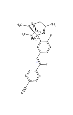 CC1=C2[C@@]1(C(=O)N(C)C)SC(N)=N[C@]2(C)c1cc(/C=C(\F)c2cnc(C#N)cn2)ccc1F